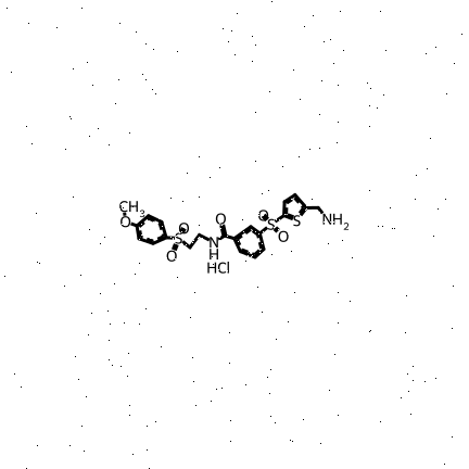 COc1ccc(S(=O)(=O)CCNC(=O)c2cccc(S(=O)(=O)c3ccc(CN)s3)c2)cc1.Cl